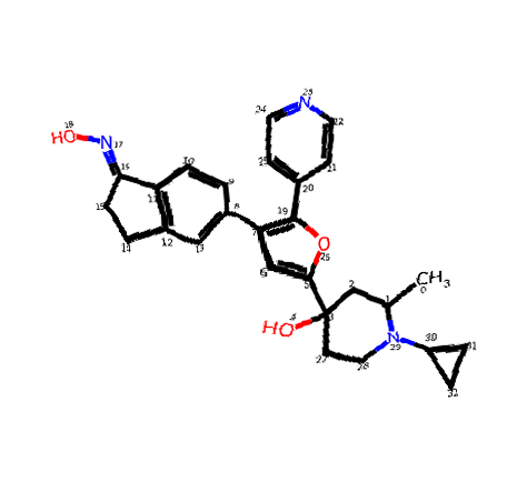 CC1CC(O)(c2cc(-c3ccc4c(c3)CCC4=NO)c(-c3ccncc3)o2)CCN1C1CC1